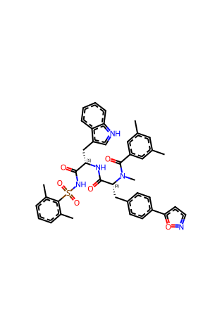 Cc1cc(C)cc(C(=O)N(C)[C@H](Cc2ccc(-c3ccno3)cc2)C(=O)N[C@@H](Cc2c[nH]c3ccccc23)C(=O)NS(=O)(=O)c2c(C)cccc2C)c1